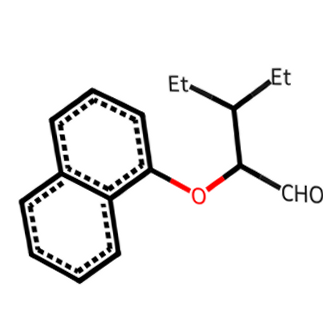 CCC(CC)C(C=O)Oc1cccc2ccccc12